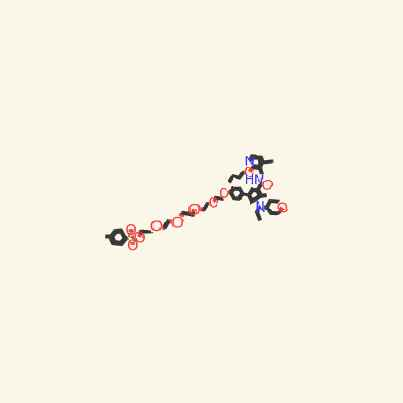 CCCCOc1nccc(C)c1CNC(=O)c1cc(-c2ccc(OCCOCCOCCOCCOCCOS(=O)(=O)c3ccc(C)cc3)cc2)cc(N(CC)C2CCOCC2)c1C